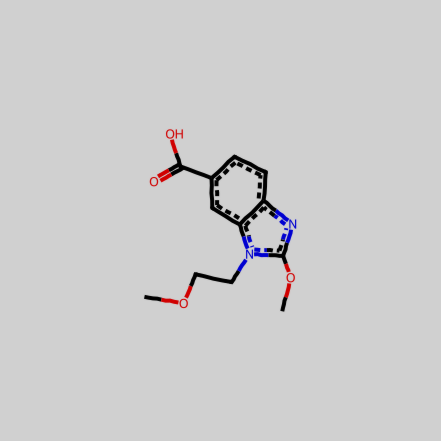 COCCn1c(OC)nc2ccc(C(=O)O)cc21